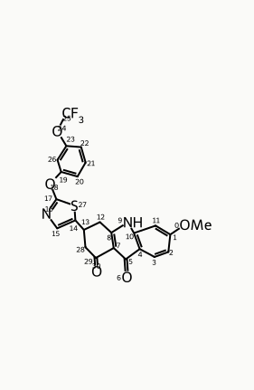 COc1ccc2c(=O)c3c([nH]c2c1)CC(c1cnc(Oc2cccc(OC(F)(F)F)c2)s1)CC3=O